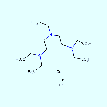 O=C(O)CN(CCN(CC(=O)O)CC(=O)O)CCN(CC(=O)O)CC(=O)O.[Gd].[H+].[H+]